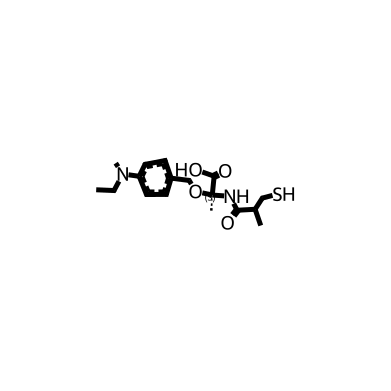 CCN(C)c1ccc(CO[C@](C)(NC(=O)C(C)CS)C(=O)O)cc1